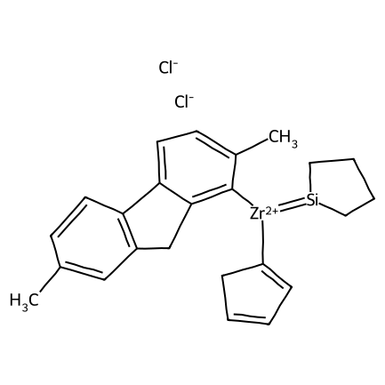 Cc1ccc2c(c1)Cc1c-2ccc(C)[c]1[Zr+2]([C]1=CC=CC1)=[Si]1CCCC1.[Cl-].[Cl-]